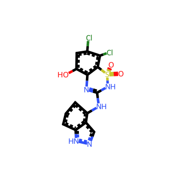 O=S1(=O)NC(Nc2cccc3[nH]ncc23)=Nc2c(O)cc(Cl)c(Cl)c21